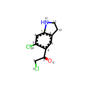 O=C(CCl)c1cc2c(cc1Cl)NCC2